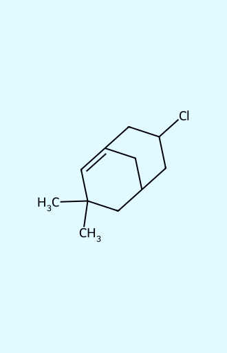 CC1(C)C=C2CC(Cl)CC(C2)C1